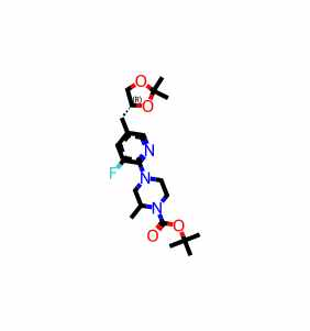 CC1CN(c2ncc(C[C@@H]3COC(C)(C)O3)cc2F)CCN1C(=O)OC(C)(C)C